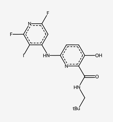 CC(C)(C)CNC(=O)c1nc(Nc2cc(F)nc(F)c2I)ccc1O